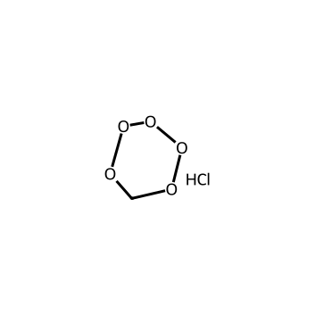 C1OOOOO1.Cl